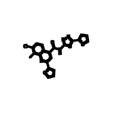 Cc1c(Cl)ccc2c(C(=O)Nc3nnc(-c4ccco4)o3)cc(-c3ccco3)nc12